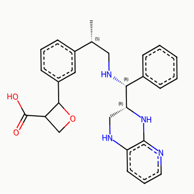 C[C@H](CN[C@H](c1ccccc1)[C@H]1CNc2cccnc2N1)c1cccc(C2OCC2C(=O)O)c1